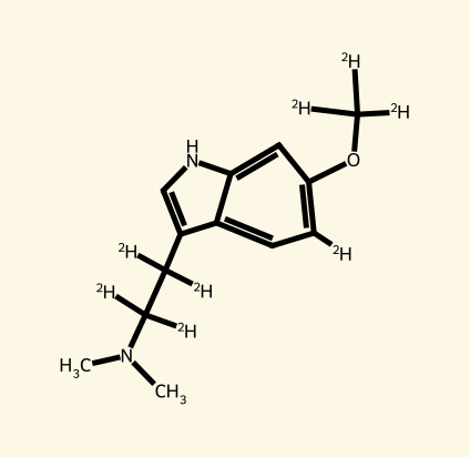 [2H]c1cc2c(C([2H])([2H])C([2H])([2H])N(C)C)c[nH]c2cc1OC([2H])([2H])[2H]